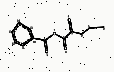 CCCC(=O)C(=O)OC(=O)c1ccccc1